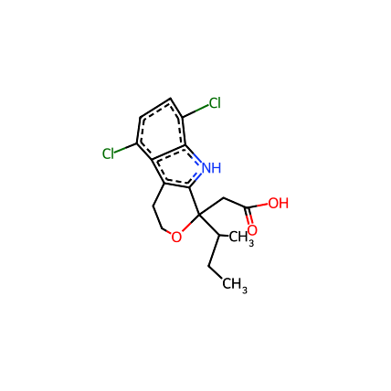 CCC(C)C1(CC(=O)O)OCCc2c1[nH]c1c(Cl)ccc(Cl)c21